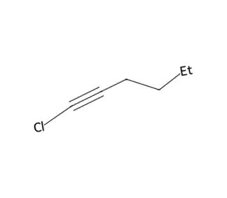 CCCCC#CCl